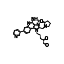 Nc1nc2cc(-c3cccnc3)ccc2c2c1nc(CN1CCCC1=O)n2CCCC(=O)C=O